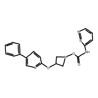 O=C(Nc1cccnn1)ON1CC(Oc2ccc(-c3ccccc3)cn2)C1